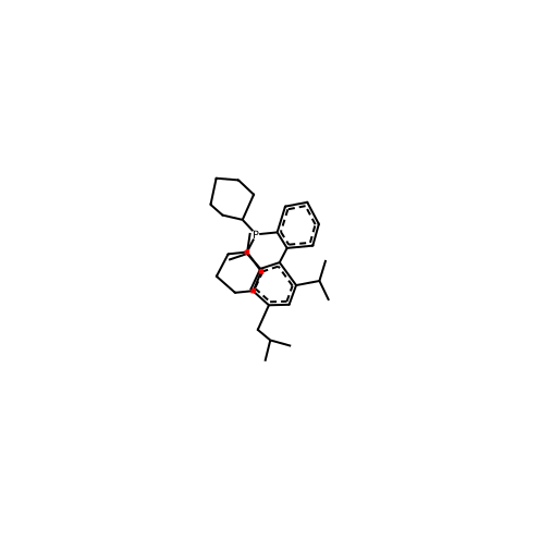 CC(C)Cc1cc(C(C)C)c(-c2ccccc2P(C2CCCCC2)C2CCCCC2)c(C(C)C)c1